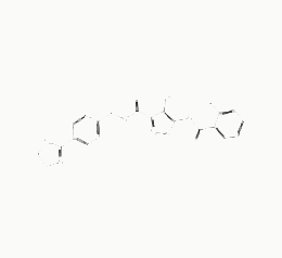 O=C(Nc1[nH]nc(C(=O)NCc2ccc(C3=NCCN3)cc2)c1Br)c1ccccc1I